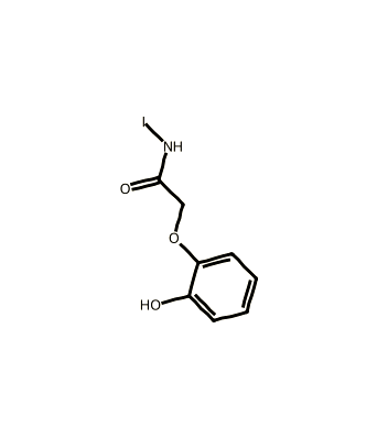 O=C(COc1ccccc1O)NI